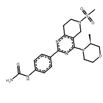 C[C@H]1COCCN1c1nc(-c2ccc(NC(N)=O)cc2)nc2c1CN(S(C)(=O)=O)CC2